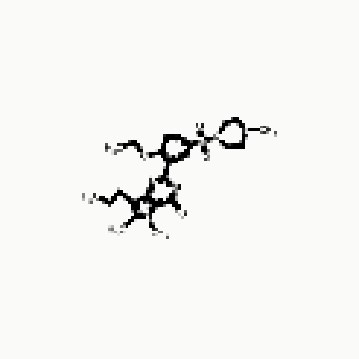 CCCc1c(C)n(C)c2c(=O)[nH]c(-c3cc(S(=O)(=O)N4CCN(C)CC4)ccc3OCC)nc12